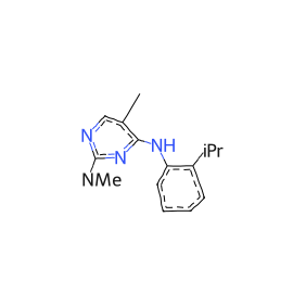 CNc1ncc(C)c(Nc2ccccc2C(C)C)n1